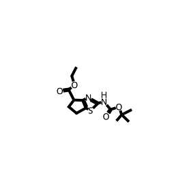 CCOC(=O)C1CCc2sc(NC(=O)OC(C)(C)C)nc21